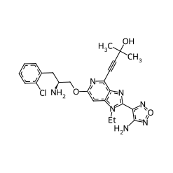 CCn1c(-c2nonc2N)nc2c(C#CC(C)(C)O)nc(OC[C@@H](N)Cc3ccccc3Cl)cc21